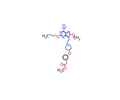 CCCCOc1nc(N)c2nc(OC)n(CCN3CCC(Oc4cccc(CC(=O)OC)c4)CC3)c2n1